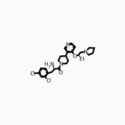 CC[C@@H](CN1CCCC1)Oc1ccncc1C1CCN(C(=O)[C@H](N)Cc2ccc(Cl)cc2Cl)CC1